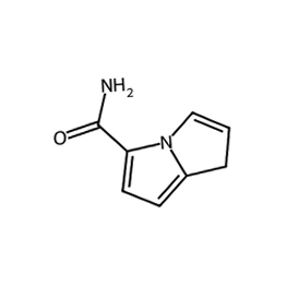 NC(=O)c1ccc2n1C=CC2